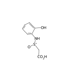 O=C(O)C[S+]([O-])Nc1ccccc1O